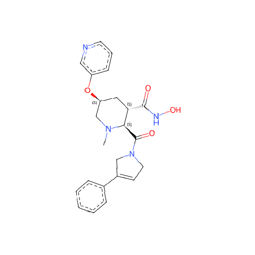 CN1C[C@@H](Oc2cccnc2)C[C@H](C(=O)NO)[C@H]1C(=O)N1CC=C(c2ccccc2)C1